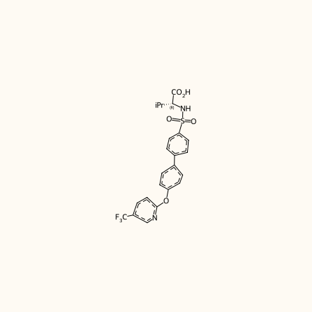 CC(C)[C@@H](NS(=O)(=O)c1ccc(-c2ccc(Oc3ccc(C(F)(F)F)cn3)cc2)cc1)C(=O)O